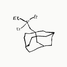 CC[N+](CC)(CC)C12CC3CC(CC(C3)C1)C2